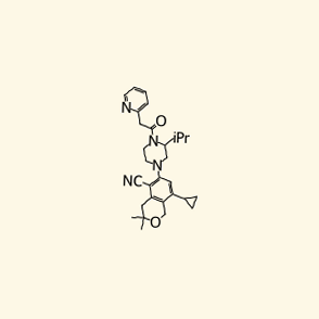 CC(C)C1CN(c2cc(C3CC3)c3c(c2C#N)CC(C)(C)OC3)CCN1C(=O)Cc1ccccn1